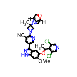 COc1cc2[nH]nc(-c3cnc(N4CC(C)(N5C[C@@H]6C[C@H]5CO6)C4)c(C#N)c3)c2cc1O[C@H](C)c1c(Cl)cncc1Cl